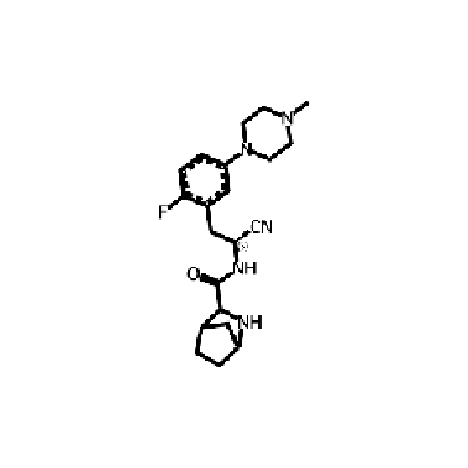 CN1CCN(c2ccc(F)c(C[C@@H](C#N)NC(=O)C3NC4CCC3C4)c2)CC1